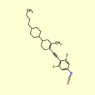 CCCCC1CCC(C2CCC(C#Cc3c(F)cc(N=C=S)cc3F)=C(C)C2)CC1